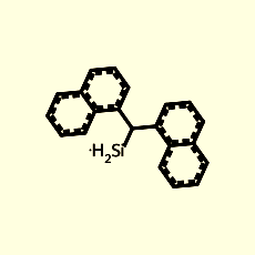 [SiH2]C(c1cccc2ccccc12)c1cccc2ccccc12